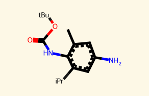 Cc1cc(N)cc(C(C)C)c1NC(=O)OC(C)(C)C